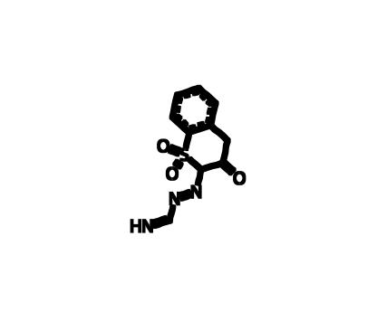 N=CN=NC1C(=O)Cc2ccccc2S1(=O)=O